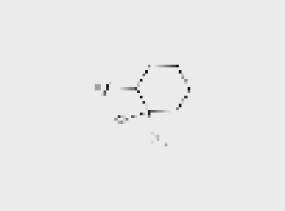 CC1CCCCC1(C)Cl